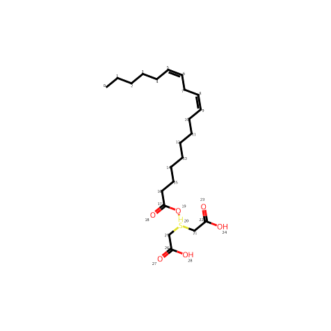 CCCCC/C=C\C/C=C\CCCCCCCC(=O)O[SH](CC(=O)O)CC(=O)O